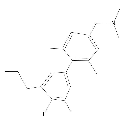 CCCc1cc(-c2c(C)cc(CN(C)C)cc2C)cc(C)c1F